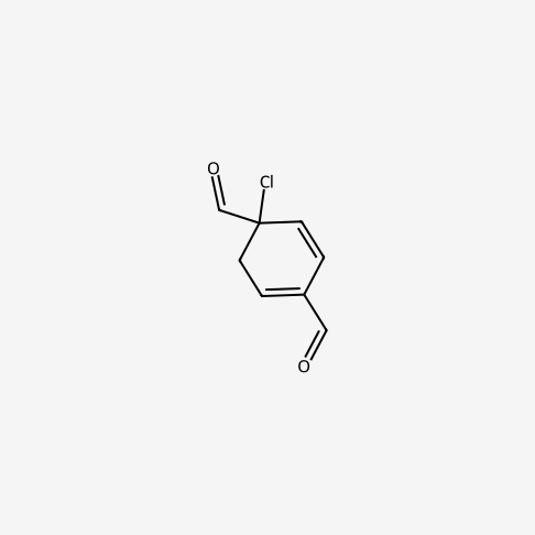 O=CC1=CCC(Cl)(C=O)C=C1